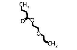 C=CCOCCOC(=O)CCC